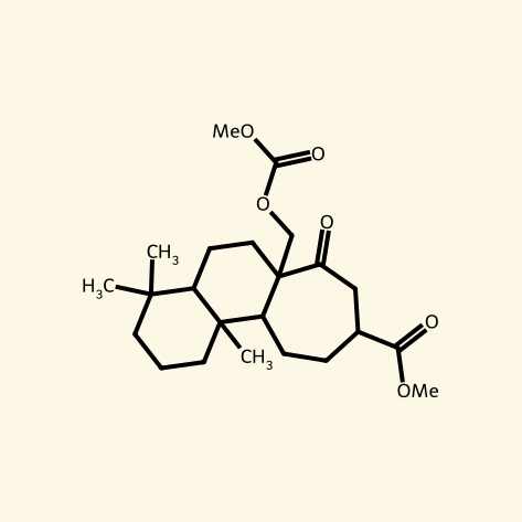 COC(=O)OCC12CCC3C(C)(C)CCCC3(C)C1CCC(C(=O)OC)CC2=O